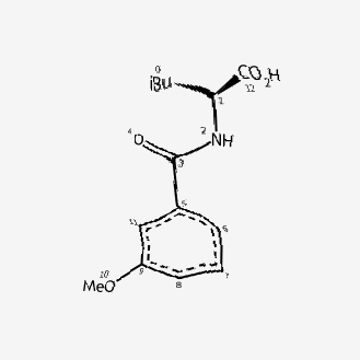 CC[C@H](C)[C@H](NC(=O)c1cccc(OC)c1)C(=O)O